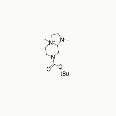 CN1CC[N+]2(C)CCN(C(=O)OC(C)(C)C)CC12